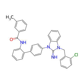 Cc1cccc(C(=O)Nc2ccccc2-c2ccc(-n3c(=N)n(Cc4ccccc4Cl)c4ccccc43)cc2)c1